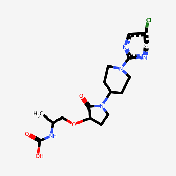 CC(COC1CCN(C2CCN(c3ncc(Cl)cn3)CC2)C1=O)NC(=O)O